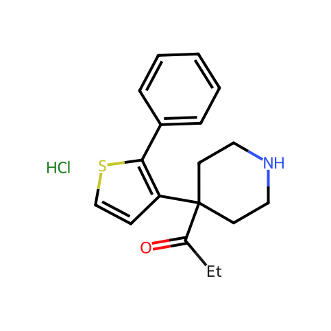 CCC(=O)C1(c2ccsc2-c2ccccc2)CCNCC1.Cl